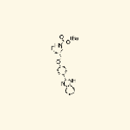 CC(C)(C)OC(=O)NCC(=CF)COc1ccc(-c2nc3ccccc3[nH]2)cc1